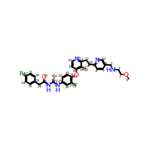 COCCNCc1ccc(C2Cc3nccc(Oc4ccc(NC(=S)NC(=O)Cc5ccc(F)cc5)cc4F)c3S2)nc1